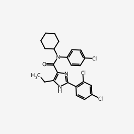 CCc1[nH]c(-c2ccc(Cl)cc2Cl)nc1C(=O)N(c1ccc(Cl)cc1)C1CCCCC1